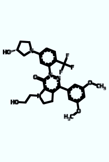 COc1cc(OC)cc(-c2nn(-c3cc(N4CC[C@@H](O)C4)ccc3C(F)(F)F)c(=O)c3c2CCN3CCO)c1